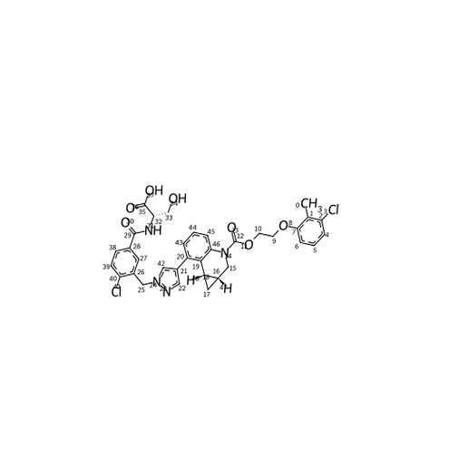 Cc1c(Cl)cccc1OCCOC(=O)N1C[C@@H]2C[C@@H]2c2c(-c3cnn(Cc4cc(C(=O)N[C@@H](CO)C(=O)O)ccc4Cl)c3)cccc21